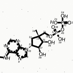 CNc1ncnc2c1ncn2[C@@H]1C[C@](C)(COP(=O)(O)OP(=O)(O)O)[C@@H](O)[C@H]1O